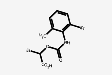 CCC(OC(=O)Nc1c(C)cccc1C(C)C)C(=O)O